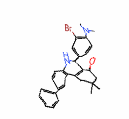 CN(C)c1ccc(C2Nc3ccc(-c4ccccc4)cc3C3=C2C(=O)CC(C)(C)C3)cc1Br